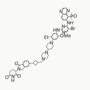 CCc1cc(Nc2ncc(Br)c(Nc3ccc4nccnc4c3P(C)(C)=O)n2)c(OC)cc1N1CCC(N2CCN(CC3CC(c4ccc5c(c4)CN(C4CCC(=O)NC4=O)C5=O)C3)CC2)CC1